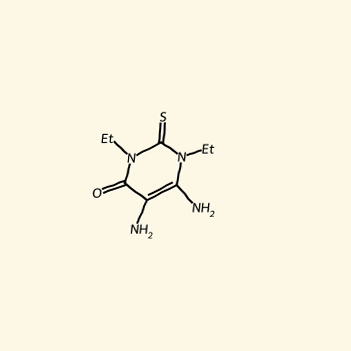 CCn1c(N)c(N)c(=O)n(CC)c1=S